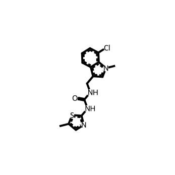 Cc1cnc(NC(=O)NCc2cn(C)c3c(Cl)cccc23)s1